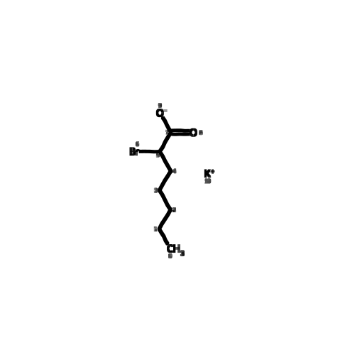 CCCCCC(Br)C(=O)[O-].[K+]